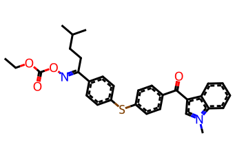 CCOC(=O)ON=C(CCC(C)C)c1ccc(Sc2ccc(C(=O)c3cn(C)c4ccccc34)cc2)cc1